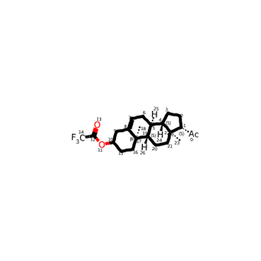 CC(=O)[C@H]1CC[C@H]2[C@@H]3CC=C4CC(OC(=O)C(F)(F)F)CC[C@]4(C)[C@H]3CC[C@]12C